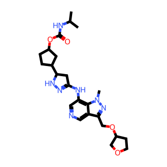 CC(C)NC(=O)OC1CCC(C2CC(Nc3cncc4c(COC5CCOC5)nn(C)c34)=NN2)C1